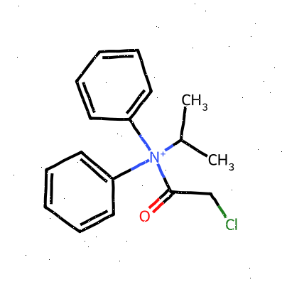 CC(C)[N+](C(=O)CCl)(c1ccccc1)c1ccccc1